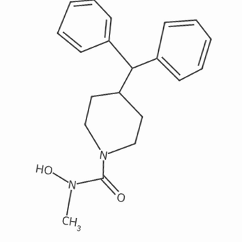 CN(O)C(=O)N1CCC(C(c2ccccc2)c2ccccc2)CC1